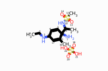 CCNC1C=CC(N)(C(C)NS(C)(=O)=O)C(C)=C1.O=S(=O)(O)O